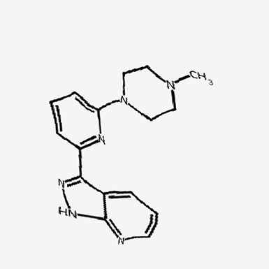 CN1CCN(c2cccc(-c3n[nH]c4ncccc34)n2)CC1